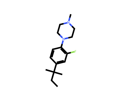 CCC(C)(C)c1ccc(N2CCN(C)CC2)c(F)c1